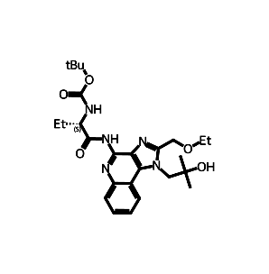 CCOCc1nc2c(NC(=O)[C@H](CC)NC(=O)OC(C)(C)C)nc3ccccc3c2n1CC(C)(C)O